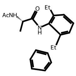 CCc1cccc(CC)c1NC(=O)[C@H](C)NC(C)=O.c1ccccc1